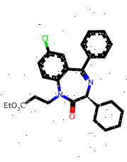 CCOC(=O)CCN1C(=O)[C@H](C2CCCCC2)N=C(c2ccccc2)c2cc(Cl)ccc21